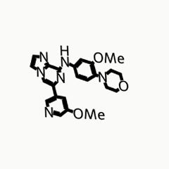 COc1cncc(-c2cn3ccnc3c(Nc3ccc(N4CCOCC4)c(OC)c3)n2)c1